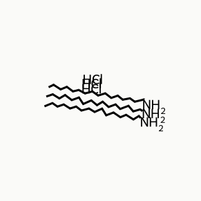 CCCCCCCCCCCCCCCCN.CCCCCCCCCCCCCCCCN.CCCCCCCCCCCCCCCCN.Cl.Cl.Cl